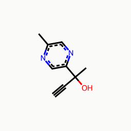 C#CC(C)(O)c1cnc(C)cn1